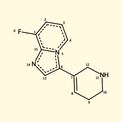 Fc1cccn2c(C3=CCCNC3)cnc12